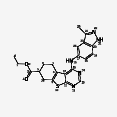 CCOC(=O)C1CCc2c(sc3ncnc(Nc4ccc5[nH]nc(C)c5c4)c23)C1